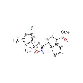 COC(=O)c1ccc(C2=NOC(c3cc(F)cc(C(F)(F)F)c3)(C(F)(F)F)C2)c2ccccc12